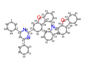 c1ccc(-c2cc(-c3ccccc3)nc(-c3ccc4c(c3)oc3cccc(-n5c6ccccc6c6ccc7c8ccccc8oc7c65)c34)n2)cc1